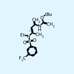 C=C(/C=C(\C)N(CC)S(=O)(=O)c1cccc(C(F)(F)F)c1)NC(=C)OC(C)(C)C